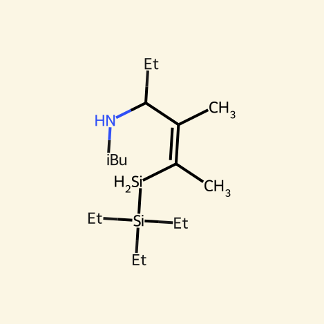 CCC(C)NC(CC)C(C)=C(C)[SiH2][Si](CC)(CC)CC